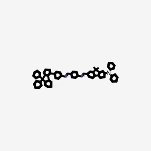 CC1(C)c2cc(/C=C/c3ccc(/C=C/c4ccc(-c5cccc6c5-c5ccccc5C6(c5ccccc5)c5ccccc5)cc4)cc3)ccc2-c2ccc(N(c3ccccc3)c3ccccc3)cc21